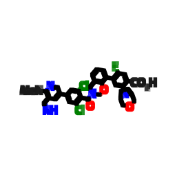 CNc1ncc(-c2cc(Cl)c(C(=O)N3COc4c(cccc4-c4cc(N5C6CCC5COC6)c(C(=O)O)cc4F)C3)c(Cl)c2)cc1C=N